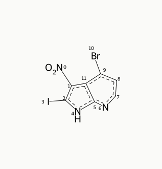 O=[N+]([O-])c1c(I)[nH]c2nccc(Br)c12